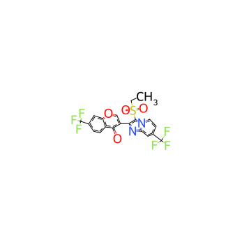 CCS(=O)(=O)c1c(-c2coc3cc(C(F)(F)F)ccc3c2=O)nc2cc(C(F)(F)F)ccn12